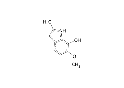 COc1ccc2cc(C)[nH]c2c1O